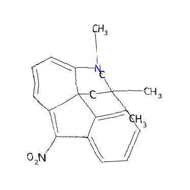 CN1CC(C)(C)CC23C1=CC=CC2=C([N+](=O)[O-])c1ccccc13